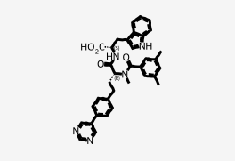 Cc1cc(C)cc(C(=O)N(C)[C@H](CCc2ccc(-c3cncnc3)cc2)C(=O)N[C@@H](Cc2c[nH]c3ccccc23)C(=O)O)c1